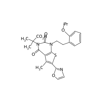 Cc1c(-c2ncco2)sc2c1c(=O)n(C(C)(C)C(=O)O)c(=O)n2CCc1ccccc1OC(C)C